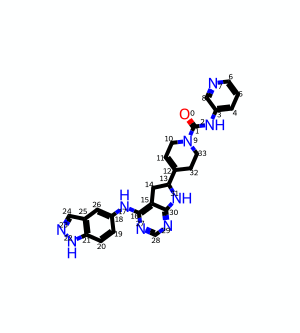 O=C(Nc1cccnc1)N1CC=C(C2Cc3c(Nc4ccc5[nH]ncc5c4)ncnc3N2)CC1